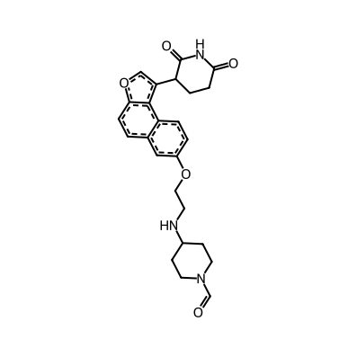 O=CN1CCC(NCCOc2ccc3c(ccc4occ(C5CCC(=O)NC5=O)c43)c2)CC1